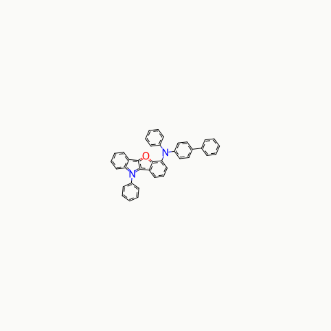 c1ccc(-c2ccc(N(c3ccccc3)c3cccc4c3oc3c5ccccc5n(-c5ccccc5)c43)cc2)cc1